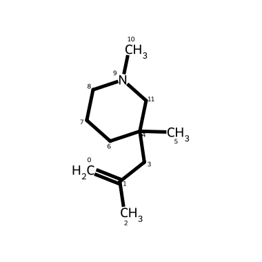 C=C(C)CC1(C)CCCN(C)C1